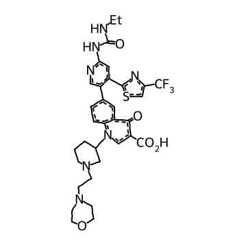 CCNC(=O)Nc1cc(-c2nc(C(F)(F)F)cs2)c(-c2ccc3c(c2)c(=O)c(C(=O)O)cn3C2CCCN(CCN3CCOCC3)C2)cn1